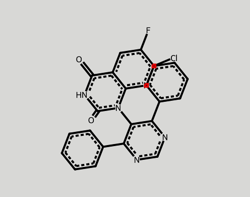 O=c1[nH]c(=O)n(-c2c(-c3ccccc3)ncnc2-c2ccccc2)c2nc(Cl)c(F)cc12